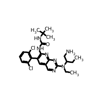 CCC(CN)N(CC)c1ncc2cc(-c3c(Cl)cccc3Cl)c(NC(=O)NC(C)(C)C)nc2n1